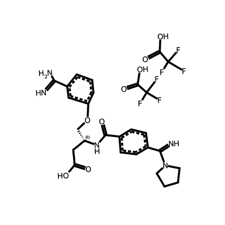 N=C(N)c1cccc(OC[C@@H](CC(=O)O)NC(=O)c2ccc(C(=N)N3CCCC3)cc2)c1.O=C(O)C(F)(F)F.O=C(O)C(F)(F)F